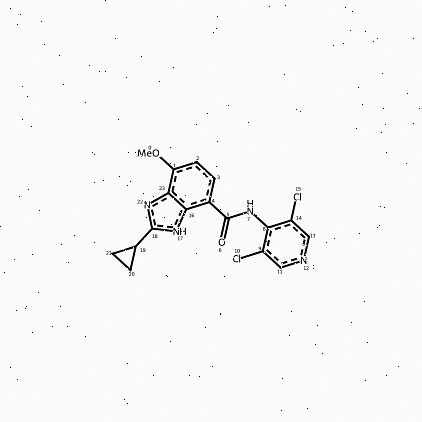 COc1ccc(C(=O)Nc2c(Cl)cncc2Cl)c2[nH]c(C3CC3)nc12